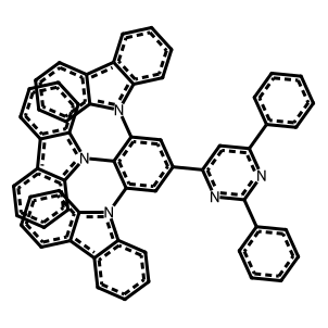 c1ccc(-c2cc(-c3cc(-n4c5ccccc5c5ccccc54)c(-n4c5ccccc5c5ccccc54)c(-n4c5ccccc5c5ccccc54)c3)nc(-c3ccccc3)n2)cc1